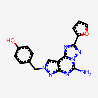 Nc1nc2nn(Cc3ccc(O)cc3)cc2c2nc(-c3ccco3)nn12